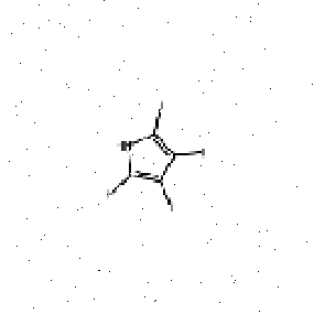 Ic1[nH]c(I)c(I)c1I